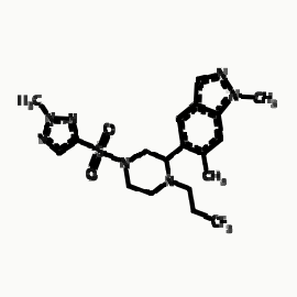 Cc1cc2c(cnn2C)cc1C1CN(S(=O)(=O)c2cnn(C)n2)CCN1CCC(F)(F)F